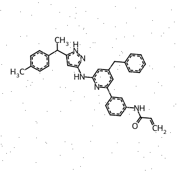 C=CC(=O)Nc1cccc(-c2cc(Cc3ccccc3)cc(Nc3cc(C(C)c4ccc(C)cc4)[nH]n3)n2)c1